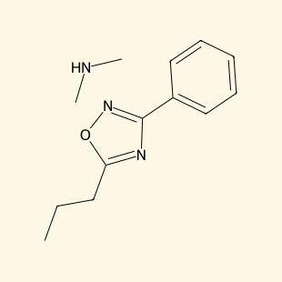 CCCc1nc(-c2ccccc2)no1.CNC